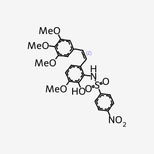 COc1ccc(/C=C\c2cc(OC)c(OC)c(OC)c2)c(NS(=O)(=O)c2ccc([N+](=O)[O-])cc2)c1O